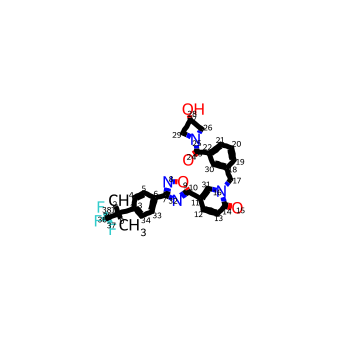 CC(C)(c1ccc(-c2noc(-c3ccc(=O)n(Cc4cccc(C(=O)N5CC(O)C5)c4)c3)n2)cc1)C(F)(F)F